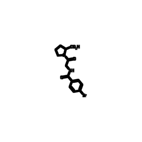 O=C(NCC(=O)N1CCCC1C(=O)O)c1ccc(Br)cc1